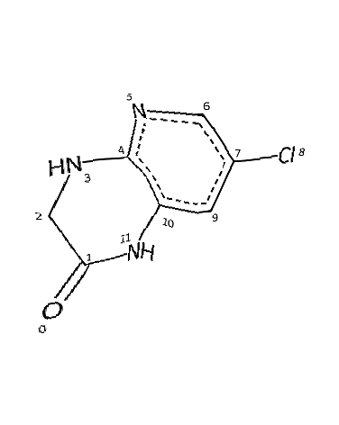 O=C1CNc2ncc(Cl)cc2N1